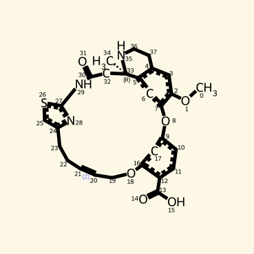 COc1cc2c3cc1Oc1ccc(C(=O)O)c(c1)OC/C=C\CCc1csc(n1)NC(=O)C[C@@]3(C)NCC2